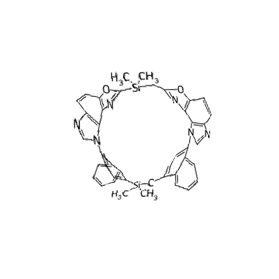 C[Si]1(C)Cc2nc3c(ccc4ncn(c43)-c3ccc(c4ccccc34)C[Si](C)(C)c3ccc(c4ccccc34)-n3cnc4ccc5oc1nc5c43)o2